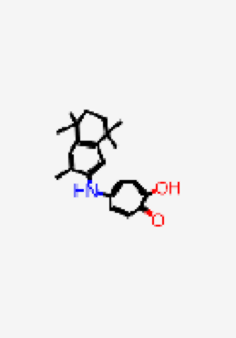 Cc1cc2c(cc1Nc1ccc(O)c(=O)cc1)C(C)(C)CCC2(C)C